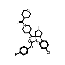 CCN(C(=O)Oc1ccc(F)cc1)[C@]1(C(=O)C2CCN(C(=O)C3CCOCC3)CC2)CNC[C@H]1c1ccc(Cl)cc1